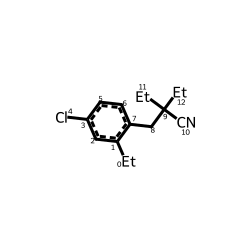 CCc1cc(Cl)ccc1CC(C#N)(CC)CC